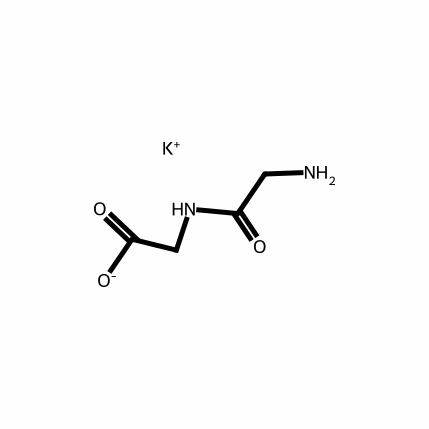 NCC(=O)NCC(=O)[O-].[K+]